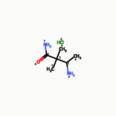 CC(N)C(C)(C)C(N)=O.Cl